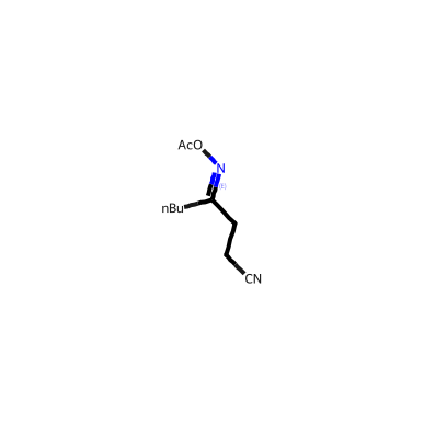 CCCC/C(CCC#N)=N\OC(C)=O